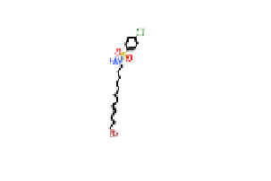 O=S(=O)(NCCCCCCCCCCCCBr)c1ccc(Cl)cc1